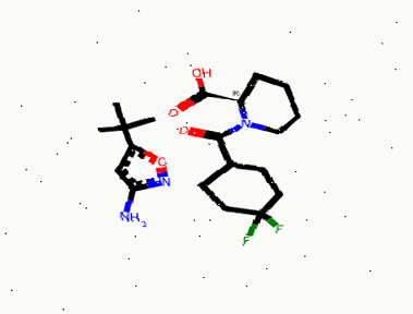 CC(C)(C)c1cc(N)no1.O=C(O)[C@H]1CCCCN1C(=O)C1CCC(F)(F)CC1